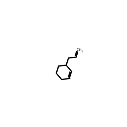 C=CCC1C=[C]CCC1